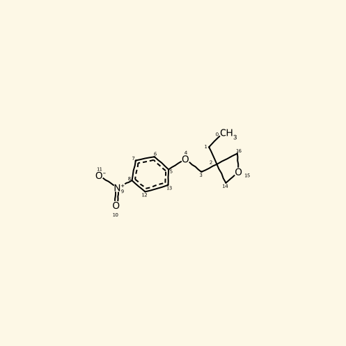 CCC1(COc2ccc([N+](=O)[O-])cc2)COC1